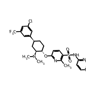 Cc1nc(O[C@H]2CC[C@H](c3cc(Cl)cc(C(F)(F)F)c3)C[C@@H]2N(C)C)ccc1S(=O)(=O)Nc1ccncn1